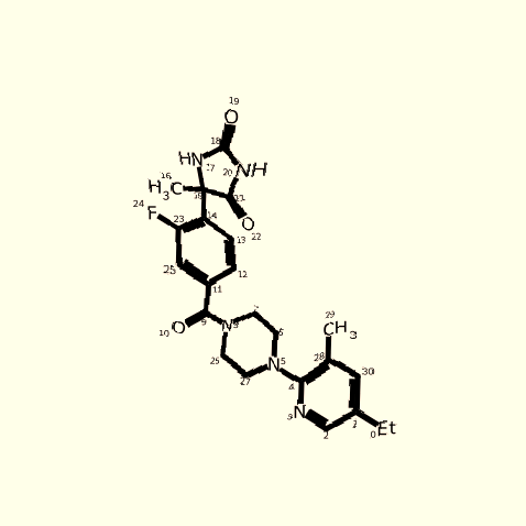 CCc1cnc(N2CCN(C(=O)c3ccc(C4(C)NC(=O)NC4=O)c(F)c3)CC2)c(C)c1